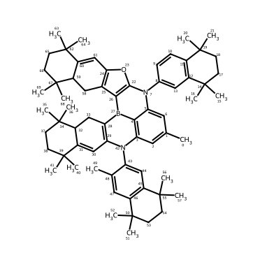 Cc1cc2c3c(c1)N(c1ccc4c(c1)C(C)(C)CCC4(C)C)c1oc4c(c1B3C1=C(C=C3C(C1)C(C)(C)CCC3(C)C)N2c1cc2c(cc1C)C(C)(C)CCC2(C)C)CC1C(=C4)C(C)(C)CCC1(C)C